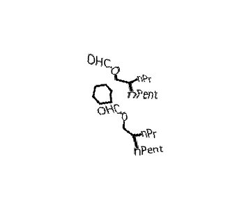 C1CCCCC1.CCCCCC(CCC)COC=O.CCCCCC(CCC)COC=O